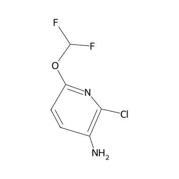 Nc1ccc(OC(F)F)nc1Cl